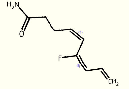 C=C/C=C(F)\C=C/CCC(N)=O